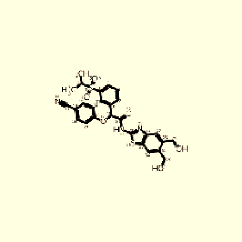 CC(C)S(=O)(=O)c1cccc(C(Oc2ccc(C#N)cc2)C(=O)Nc2nc3cc(CO)c(CO)cc3s2)c1